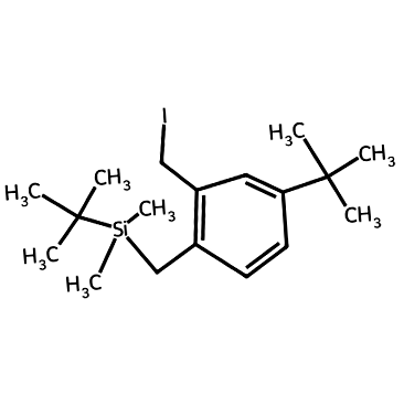 CC(C)(C)c1ccc(C[Si](C)(C)C(C)(C)C)c(CI)c1